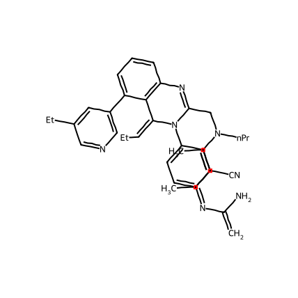 C=C(N)/N=C(C)\C(C#N)=C(/C)N(CCC)CC1=Nc2cccc(-c3cncc(CC)c3)c2/C(=C\CC)N1c1ccccc1